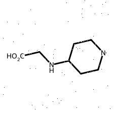 O=C(O)CNC1CC[N]CC1